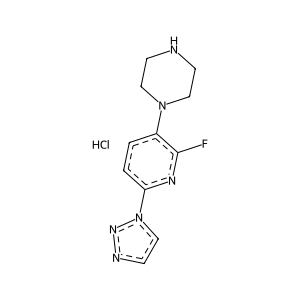 Cl.Fc1nc(-n2ccnn2)ccc1N1CCNCC1